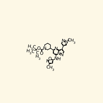 Cc1cc(Nc2cc(C3CCCN(C(=O)OC(C)(C)C)C3)nc3c(-c4cnn(C)c4)cnn23)on1